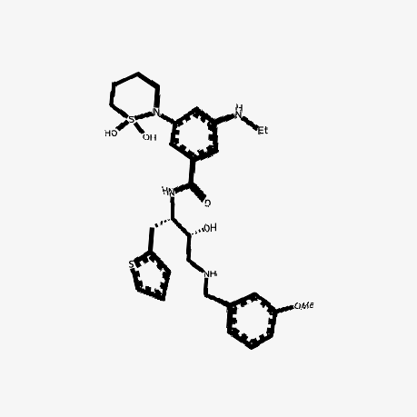 CCNc1cc(C(=O)N[C@@H](Cc2cccs2)[C@H](O)CNCc2cccc(OC)c2)cc(N2CCCCS2(O)O)c1